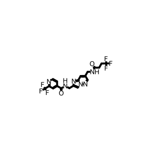 O=C(CCC(F)(F)F)NCc1cnn2cc(CNC(=O)c3ccnc(C(F)(F)F)c3)nc2c1